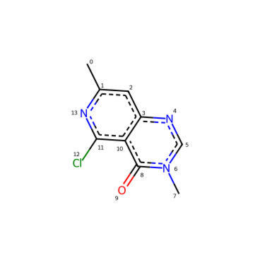 Cc1cc2ncn(C)c(=O)c2c(Cl)n1